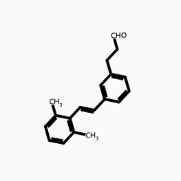 Cc1cccc(C)c1/C=C/c1cccc(CCC=O)c1